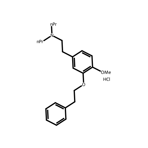 CCCN(CCC)CCc1ccc(OC)c(OCCc2ccccc2)c1.Cl